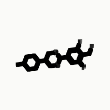 CC1CCC(C2COC(c3cc(F)c(CF)c(F)c3)OC2)CC1